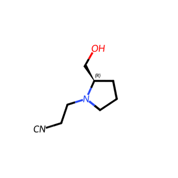 [C-]#[N+]CCN1CCC[C@@H]1CO